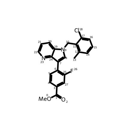 COC(=O)c1ccc(-c2cn(Cc3c(C)cccc3Cl)c3cccnc23)c(F)c1